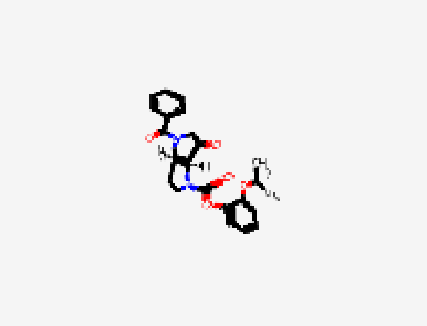 CC(C)Oc1ccccc1OC(=O)N1CC[C@@H]2[C@H]1C(=O)CN2C(=O)c1ccccc1